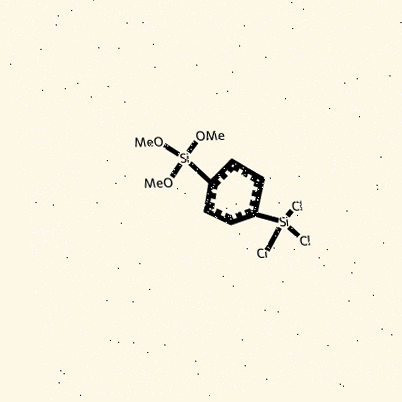 CO[Si](OC)(OC)c1ccc([Si](Cl)(Cl)Cl)cc1